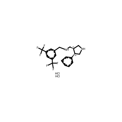 Cl.Cl.FC(F)(F)c1cc(CNC[C@H]2CNC[C@H]2c2ccccc2)cc(C(F)(F)F)c1